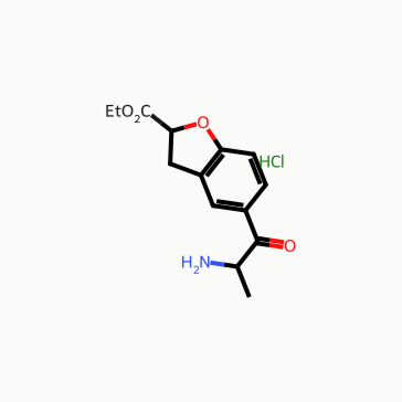 CCOC(=O)C1Cc2cc(C(=O)C(C)N)ccc2O1.Cl